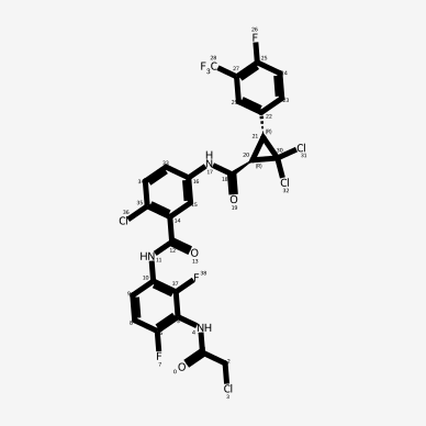 O=C(CCl)Nc1c(F)ccc(NC(=O)c2cc(NC(=O)[C@H]3[C@H](c4ccc(F)c(C(F)(F)F)c4)C3(Cl)Cl)ccc2Cl)c1F